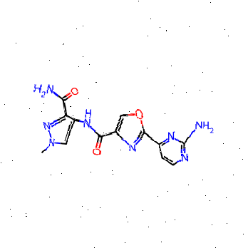 Cn1cc(NC(=O)c2coc(-c3ccnc(N)n3)n2)c(C(N)=O)n1